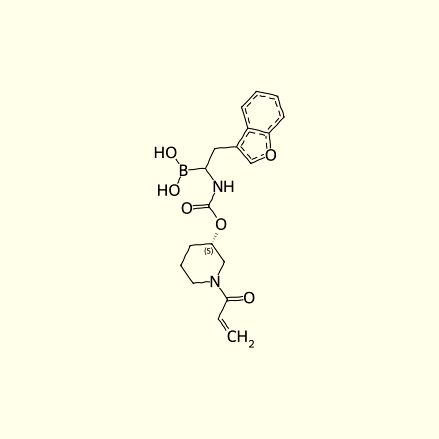 C=CC(=O)N1CCC[C@H](OC(=O)NC(Cc2coc3ccccc23)B(O)O)C1